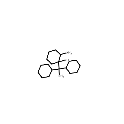 NC1CCCCC1(N)C(N)(C1CCCCC1)C1CCCCC1